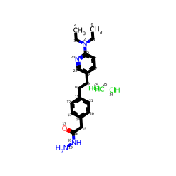 CCN(CC)c1ccc(CCc2ccc(CC(=O)NN)cc2)cn1.Cl.Cl.Cl